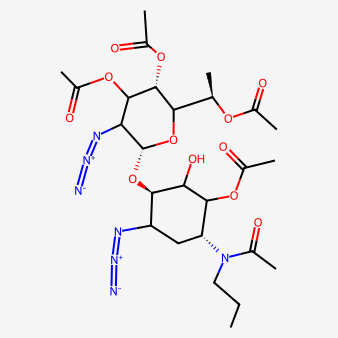 CCCN(C(C)=O)[C@@H]1CC(N=[N+]=[N-])[C@@H](O[C@H]2OC([C@@H](C)OC(C)=O)[C@@H](OC(C)=O)C(OC(C)=O)C2N=[N+]=[N-])C(O)C1OC(C)=O